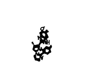 CC1=CC(N2CC[C@H](C)[C@H]2c2nc3cc(Cl)c(C)cc3[nH]2)=C(c2ncccn2)[CH]C1